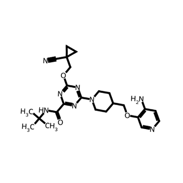 CC(C)(C)NC(=O)c1nc(OCC2(C#N)CC2)nc(N2CCC(COc3cnccc3N)CC2)n1